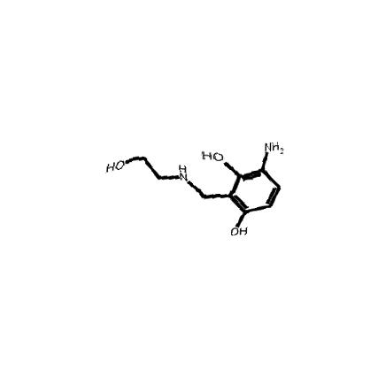 Nc1ccc(O)c(CNCCO)c1O